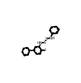 Fc1ccc(-c2ccccc2)cc1NN=NNc1ccccc1